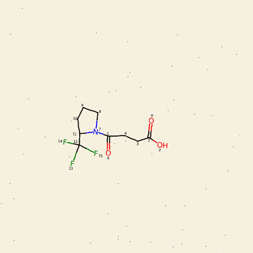 O=C(O)CCC(=O)N1CCCC1C(F)(F)F